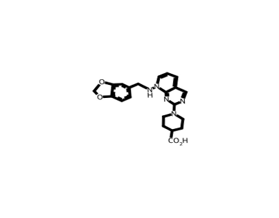 O=C(O)C1CCN(C2N=CC3=CC=CN(NCc4ccc5c(c4)OCO5)C3=N2)CC1